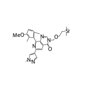 COc1ccc(C)c(-c2nc(-c3cnn(C)c3)cc3c(=O)n(COCC[Si](C)(C)C)cnc23)c1C